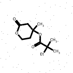 CCC(C)(C)C(=O)OC1(C)CCOC(=O)C1